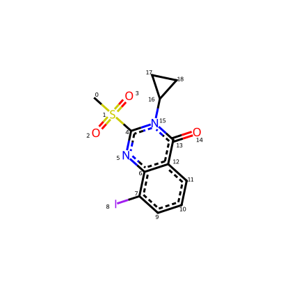 CS(=O)(=O)c1nc2c(I)cccc2c(=O)n1C1CC1